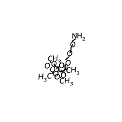 CC(=O)OC[C@H]1O[C@@H](OCCOCCOCCN)[C@H](C)[C@@H](OC(C)=O)[C@H]1OC(C)=O